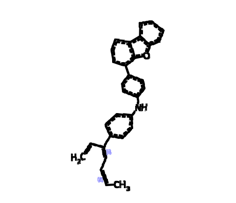 C=C/C(=C\C=C/C)c1ccc(Nc2ccc(-c3cccc4c3oc3ccccc34)cc2)cc1